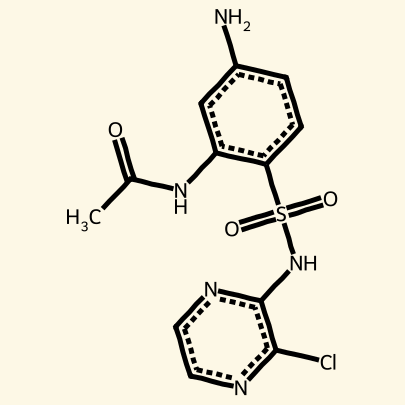 CC(=O)Nc1cc(N)ccc1S(=O)(=O)Nc1nccnc1Cl